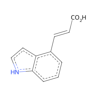 O=C(O)C=Cc1cccc2[nH]ccc12